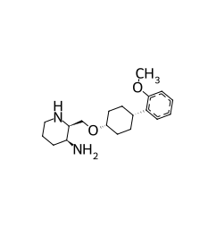 COc1ccccc1[C@H]1CC[C@@H](OC[C@@H]2NCCC[C@@H]2N)CC1